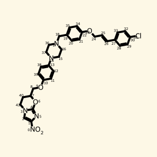 O=[N+]([O-])c1cn2c(n1)OC(COc1ccc(N3CCN(Cc4ccc(OCC=Cc5ccc(Cl)cc5)cc4)CC3)cc1)CC2